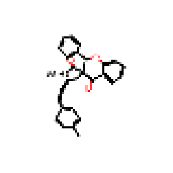 COC(=O)C1(CC=C=Cc2ccc(C)cc2)C(=O)c2ccccc2OC1c1ccccc1